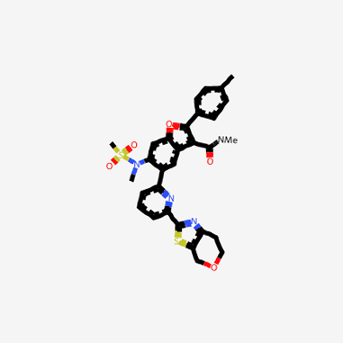 CNC(=O)c1c(-c2ccc(C)cc2)oc2cc(N(C)S(C)(=O)=O)c(-c3cccc(-c4nc5c(s4)COCC5)n3)cc12